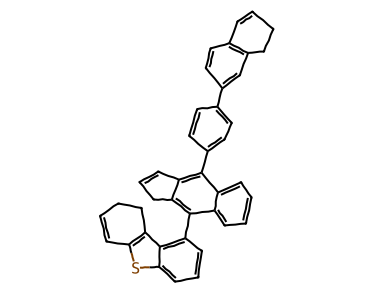 C1=Cc2ccc(-c3ccc(-c4c5c(c(-c6cccc7sc8c(c67)CCC=C8)c6ccccc46)CC=C5)cc3)cc2CC1